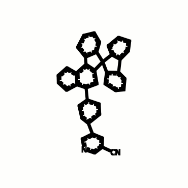 N#Cc1cncc(-c2ccc(-c3cc4c(c5ccccc35)-c3ccccc3C43c4ccccc4-c4ccccc43)cc2)c1